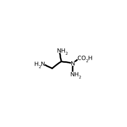 NCC(N)N(N)C(=O)O